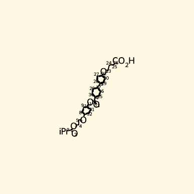 CC(C)C(=O)OCCOc1ccc(OC(=O)c2ccc(-c3ccc(OCCCC(=O)O)cc3)cc2)cc1